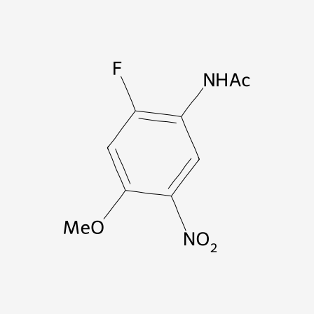 COc1cc(F)c(NC(C)=O)cc1[N+](=O)[O-]